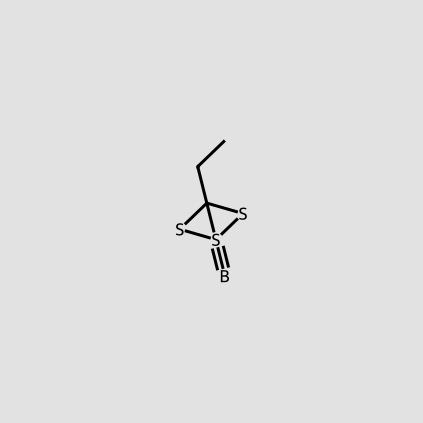 B#S12SC1(CC)S2